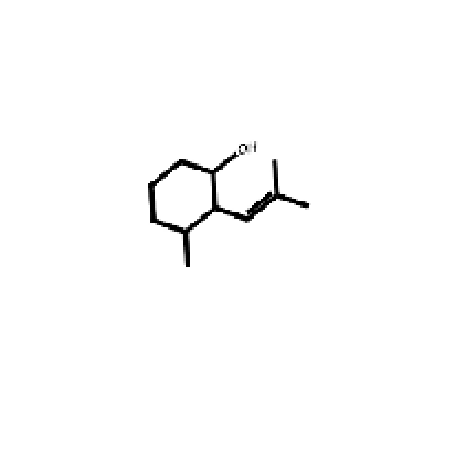 CC(C)=CC1C(C)CCCC1O